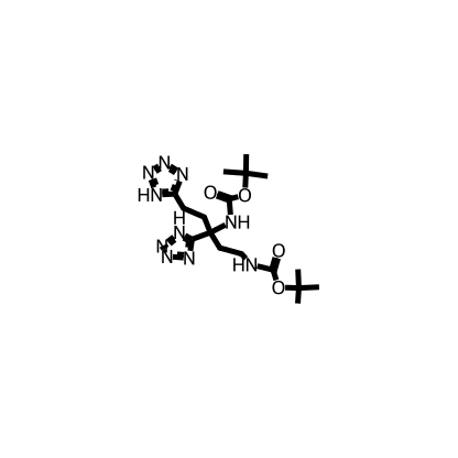 CC(C)(C)OC(=O)NCCC(CCc1nnn[nH]1)(NC(=O)OC(C)(C)C)c1nnn[nH]1